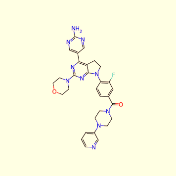 Nc1ncc(-c2nc(N3CCOCC3)nc3c2CCN3c2ccc(C(=O)N3CCN(c4cccnc4)CC3)cc2F)cn1